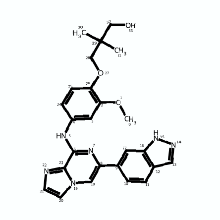 COc1cc(Nc2nc(-c3ccc4cn[nH]c4c3)cn3ccnc23)ccc1OCC(C)(C)CO